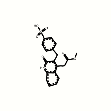 COC(=O)Cc1c(Cc2ccc(S(=O)(=O)O)cc2)c(=O)[nH]c2ccccc12